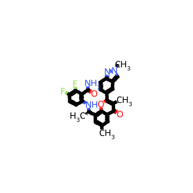 Cc1cc([C@@H](C)Nc2ccc(F)c(F)c2C(N)=O)c2oc(-c3ccc4nn(C)cc4c3)c(C)c(=O)c2c1